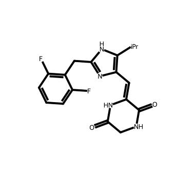 CC(C)c1[nH]c(Cc2c(F)cccc2F)nc1C=C1NC(=O)CNC1=O